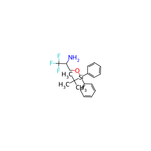 CC(C)(C)[Si](OCC(N)C(F)(F)F)(c1ccccc1)c1ccccc1